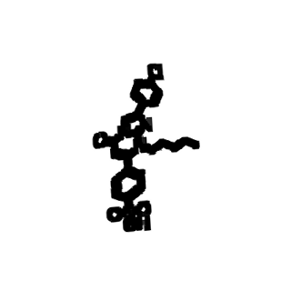 CCCCCn1c(-c2ccc(S(=O)(=O)O)cc2)cc(=O)n2cc(-c3ccc(Cl)cc3)nc12